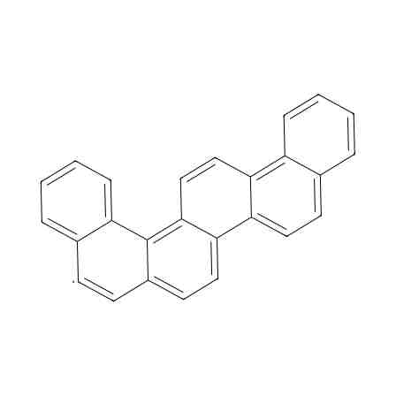 [c]1cc2ccc3c4ccc5ccccc5c4ccc3c2c2ccccc12